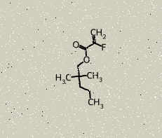 C=C(F)C(=O)OCC(C)(C)CCC